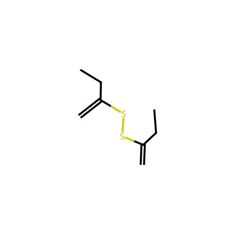 C=C(CC)SSC(=C)CC